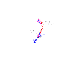 COc1cc2c(cc1OCCCCCOc1cc3c(cc1OC)C(=O)N1C=C(c4ccc(-n5cccn5)cc4)C[C@H]1CN3)N=C[C@@H]1CC3(CC3)CN1C2=O